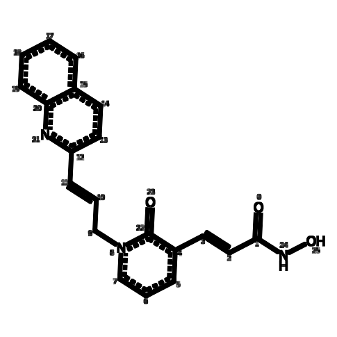 O=C(/C=C/c1cccn(C/C=C/c2ccc3ccccc3n2)c1=O)NO